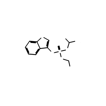 CCOP(=O)(Oc1csc2ccccc12)SC(C)C